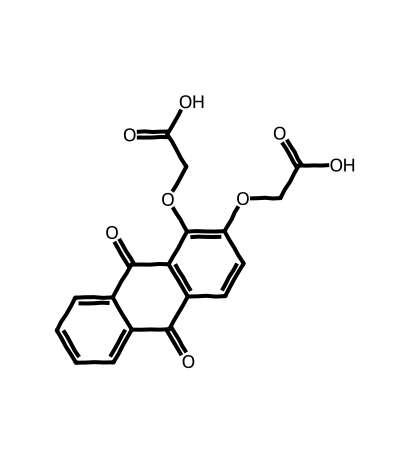 O=C(O)COc1ccc2c(c1OCC(=O)O)C(=O)c1ccccc1C2=O